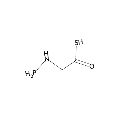 O=C(S)CNP